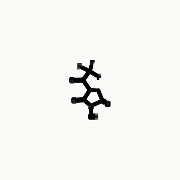 O=C1CC(C(=O)C(F)(F)F)C(=O)N1O